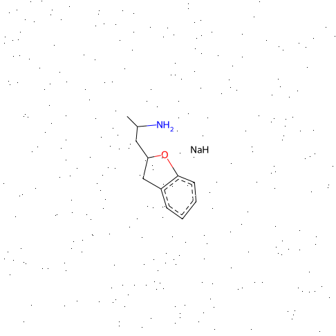 CC(N)CC1Cc2ccccc2O1.[NaH]